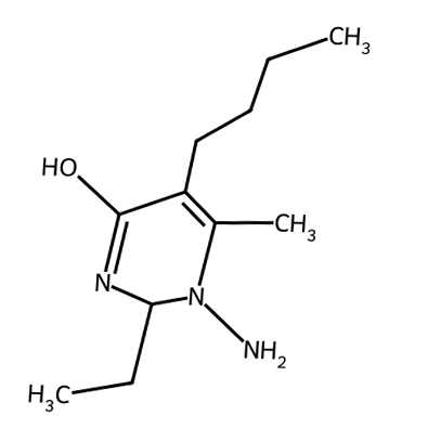 CCCCC1=C(C)N(N)C(CC)N=C1O